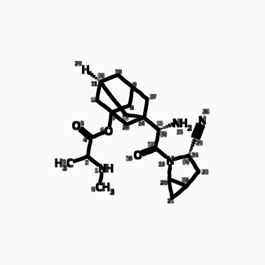 CNC(C)C(=O)OC12CC3C[C@H](C1)CC([C@H](N)C(=O)N1C4CC4C[C@H]1C#N)(C3)C2